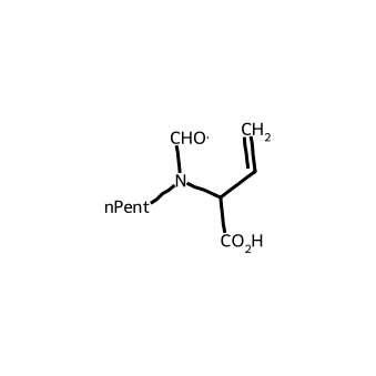 C=CC(C(=O)O)N([C]=O)CCCCC